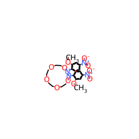 COc1cc([N+](=O)[O-])ccc1N1OCCOCCOCCOCCON1c1ccc([N+](=O)[O-])cc1OC